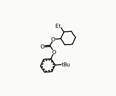 CCC1CCCCC1OC(=O)Oc1ccccc1C(C)(C)C